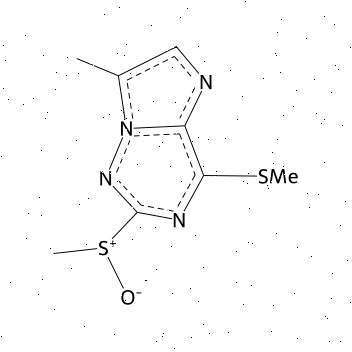 CSc1nc([S+](C)[O-])nn2c(C)cnc12